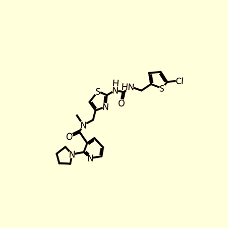 CN(Cc1csc(NC(=O)NCc2ccc(Cl)s2)n1)C(=O)c1cccnc1N1CCCC1